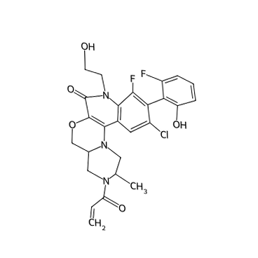 C=CC(=O)N1CC2COc3c(c4cc(Cl)c(-c5c(O)cccc5F)c(F)c4n(CCO)c3=O)N2CC1C